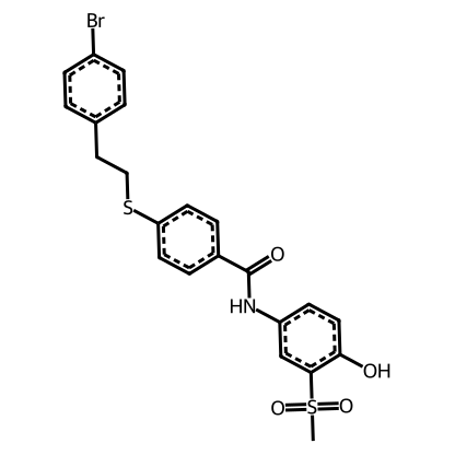 CS(=O)(=O)c1cc(NC(=O)c2ccc(SCCc3ccc(Br)cc3)cc2)ccc1O